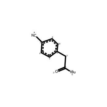 CC(C)(C)C(=O)Cc1ccc(C#N)cc1